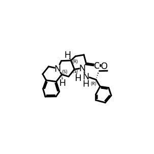 CC[C@@H](NN1C(=C=O)CC[C@@H]2CN3CCc4ccccc4[C@@H]3C[C@@H]21)c1ccccc1